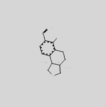 C=Cc1ccc2c(c1Cl)CC[C@@]1(C)CNC[C@@H]21.Cl